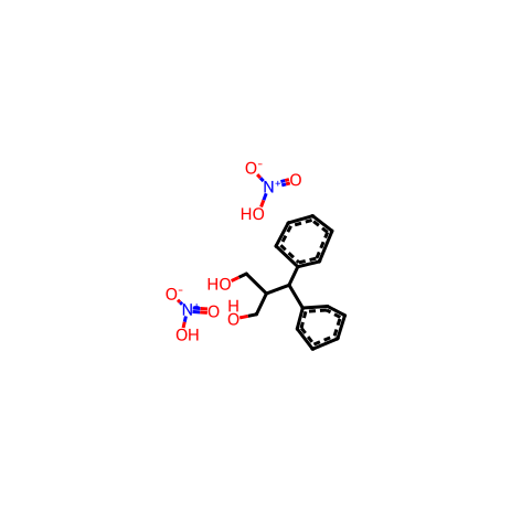 O=[N+]([O-])O.O=[N+]([O-])O.OCC(CO)C(c1ccccc1)c1ccccc1